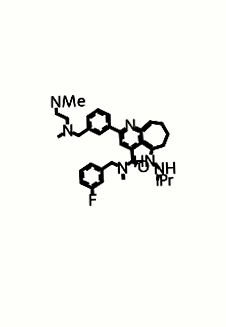 CNCCN(C)Cc1cccc(-c2cc(C(=O)N(C)Cc3cccc(F)c3)c3c(n2)=CCCCC=3NNC(C)C)c1